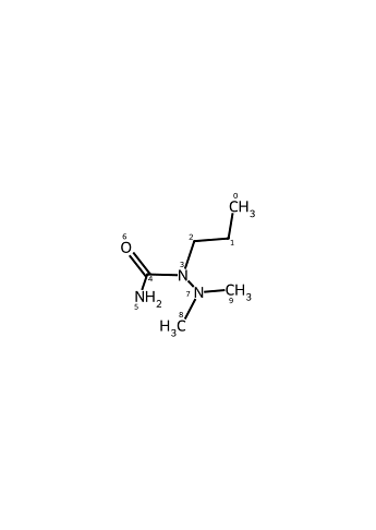 CCCN(C(N)=O)N(C)C